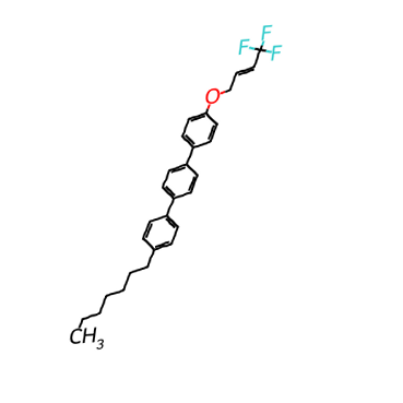 CCCCCCCc1ccc(-c2ccc(-c3ccc(OCC=CC(F)(F)F)cc3)cc2)cc1